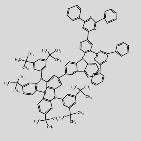 CC(C)(C)c1cc(N2c3cc(C(C)(C)C)ccc3B3c4ccc(C(C)(C)C)cc4N(c4cc(C(C)(C)C)cc(C(C)(C)C)c4)c4cc(-c5ccc6c(c5)c5ccccc5n6-c5ccc(-c6nc(-c7ccccc7)nc(-c7ccccc7)n6)cc5-c5nc(-c6ccccc6)nc(-c6ccccc6)n5)cc2c43)cc(C(C)(C)C)c1